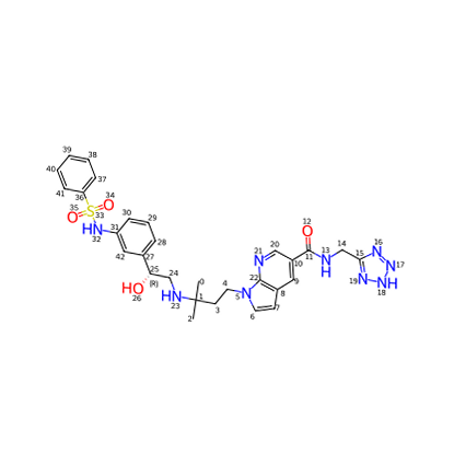 CC(C)(CCn1ccc2cc(C(=O)NCc3nn[nH]n3)cnc21)NC[C@H](O)c1cccc(NS(=O)(=O)c2ccccc2)c1